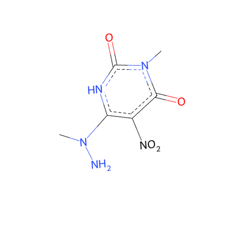 CN(N)c1[nH]c(=O)n(C)c(=O)c1[N+](=O)[O-]